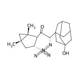 C[C@]12C[C@@H](C#N)C(C(=O)[C@@H](N=[N+]=[N-])C34CC5CC(CC(O)(C5)C3)C4)[C@@]1(C)C2